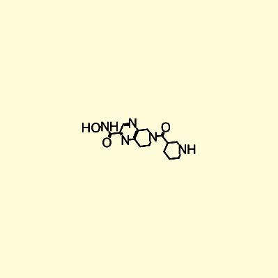 O=C(NO)c1cnc2c(n1)CCN(C(=O)C1CCCNC1)C2